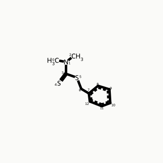 CN(C)C(=S)SCc1ccccc1